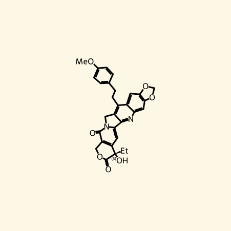 CC[C@@]1(O)C(=O)OCc2c1cc1n(c2=O)Cc2c-1nc1cc3c(cc1c2CCc1ccc(OC)cc1)OCO3